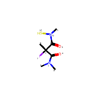 CN(C)C(=O)C(C)(I)C(=O)N(C)S